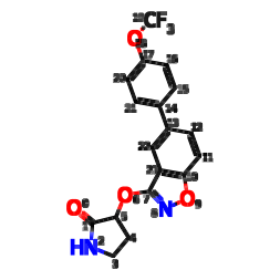 O=C1NCCC1Oc1noc2ccc(-c3ccc(OC(F)(F)F)cc3)cc12